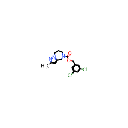 Cc1cc2n(n1)CCCN(C(=O)OCc1cc(Cl)cc(Cl)c1)C2